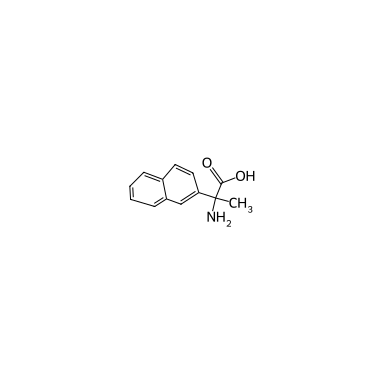 CC(N)(C(=O)O)c1ccc2ccccc2c1